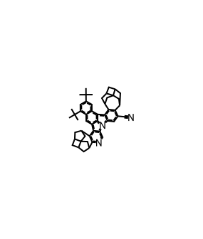 CC(C)(C)c1cc(C(C)(C)C)c2cc3c4c5c(ncc4n4c6cc(C#N)c7c(c6c(c2c1)c34)C1CC2CC3CC7CC32C1)C1CC2CC3CC5CC23C1